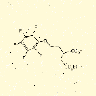 CCOC(=O)CC(CCOc1c(F)c(F)c(F)c(F)c1F)C(=O)O